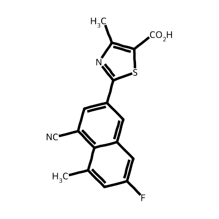 Cc1nc(-c2cc(C#N)c3c(C)cc(F)cc3c2)sc1C(=O)O